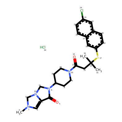 CN1C=C2C(=O)N(C3CCN(C(=O)CC(C)(C)Sc4ccc5cc(Cl)ccc5c4)CC3)CN2C1.Cl